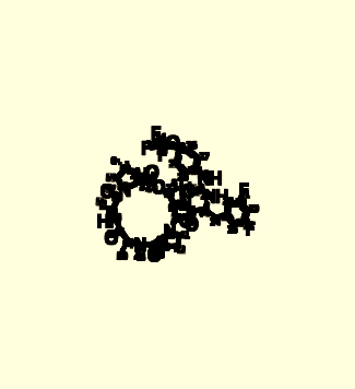 C[C@@H]1C[C@H]2C(=O)O[C@@H](C)[C@H](NC(=O)[C@H](Cc3cc(F)cc(F)c3)NC(=O)Nc3ccc(OC(F)(F)F)cc3)C(=O)N3CCC[C@H]3C(=O)N(C)[C@@H](C)C(=O)N[C@@H](C)C(=O)N2C1